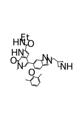 CCNC(=O)c1cc2c(-c3cc4nn(CC5CNC5)cc4cc3Oc3c(C)cccc3C)cn(C)c(=O)c2[nH]1